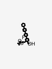 C=C(C)C(=O)OCCc1cc(-c2ccc(-c3ccc(C4CCCCC4)cc3)cc2F)ccc1CO